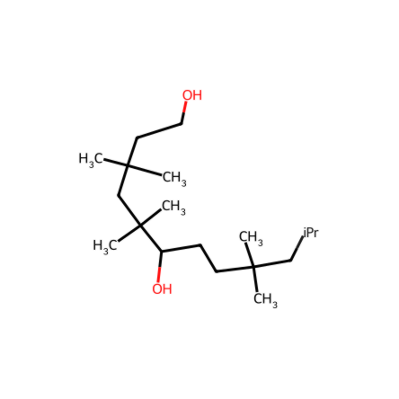 CC(C)CC(C)(C)CCC(O)C(C)(C)CC(C)(C)CCO